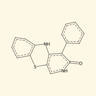 O=c1[nH]cc2c(c1-c1ccccc1)Nc1ccccc1S2